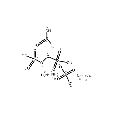 O=S(=O)([O-])OOS(=O)(=O)[O-].O=S(=O)([O-])[O-].O=S([O-])O.[Fe+2].[NH4+].[NH4+].[Na+]